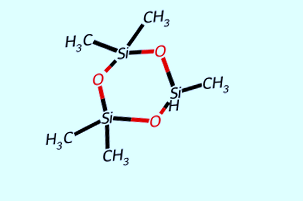 C[SiH]1O[Si](C)(C)O[Si](C)(C)O1